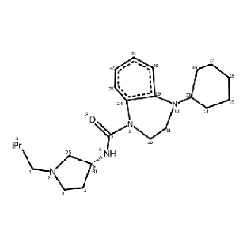 CC(C)CN1CC[C@@H](NC(=O)N2CCN(C3CCCCC3)c3ccccc32)C1